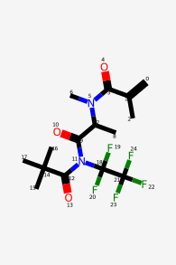 C=C(C)C(=O)N(C)C(C)C(=O)N(C(=O)C(C)(C)C)C(F)(F)C(F)(F)F